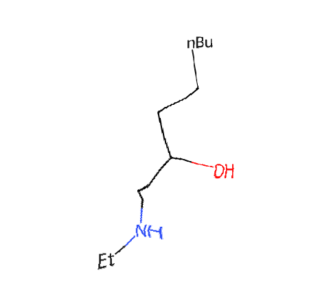 CCCCCCC(O)CNCC